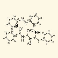 O=C(NCC(=O)[C@H](Cc1ccccc1)NC(=O)c1ccccc1C=Cc1ccccn1)c1ccccc1